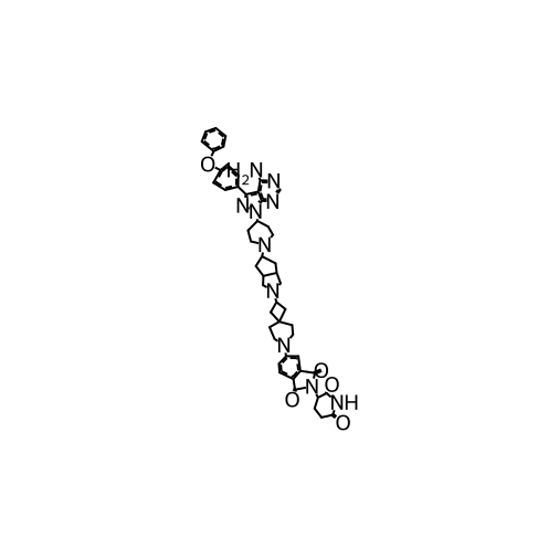 Nc1ncnc2c1c(-c1ccc(Oc3ccccc3)cc1)nn2C1CCN(C2CC3CN(C4CC5(CCN(c6ccc7c(c6)C(=O)N(C6CCC(=O)NC6=O)C7=O)CC5)C4)CC3C2)CC1